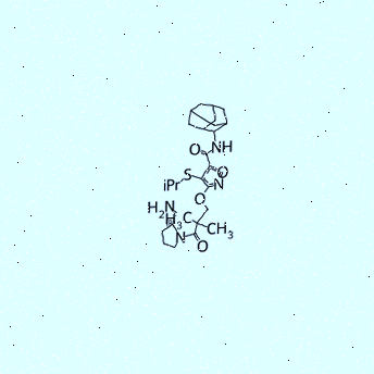 CC(C)Sc1c(OCC(C)(C)C(=O)N2CCC[C@@H]2CN)noc1C(=O)NC1C2CC3CC(C2)CC1C3